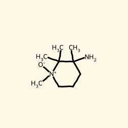 CC1(N)CCC[N+](C)([O-])C1(C)C